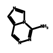 Nc1nncc2cncn12